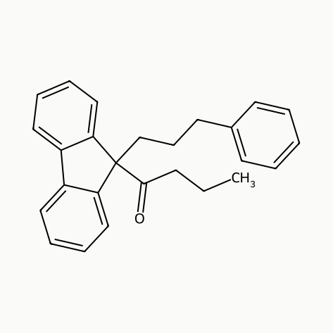 CCCC(=O)C1(CCCc2ccccc2)c2ccccc2-c2ccccc21